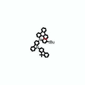 CC(C)(C)c1ccc(N(c2ccc3c4ccccc4n(-c4ccc5c(c4)C(C)(C)c4ccccc4-5)c3c2)c2cccc3c4ccccc4c4ccccc4c23)cc1